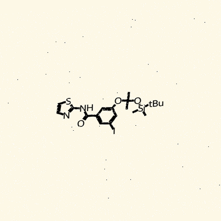 CC(C)(Oc1cc(I)cc(C(=O)Nc2nccs2)c1)O[Si](C)(C)C(C)(C)C